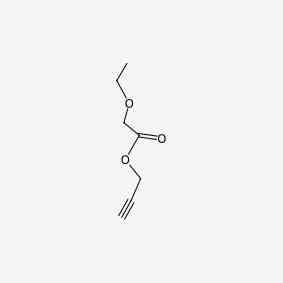 C#CCOC(=O)COCC